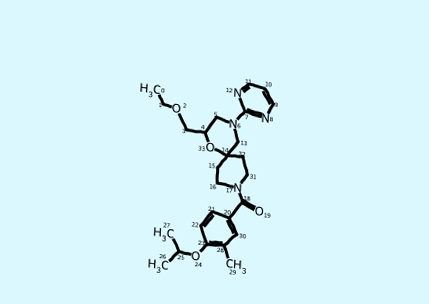 CCOCC1CN(c2ncccn2)CC2(CCN(C(=O)c3ccc(OC(C)C)c(C)c3)CC2)O1